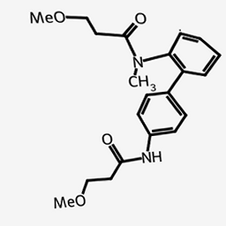 COCCC(=O)Nc1ccc(-c2ccc[c]c2N(C)C(=O)CCOC)cc1